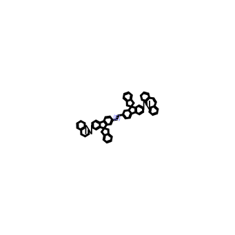 C1=CC2=C(CC1)N(c1ccc3c(c1)C1(Cc4ccccc4C1)c1cc(/C=C/C4=CC=C5c6ccc(N7C8=C(C=CCC8)C=Cc8ccccc87)cc6C6(Cc7ccccc7C6)C5C4)ccc1-3)CCC2